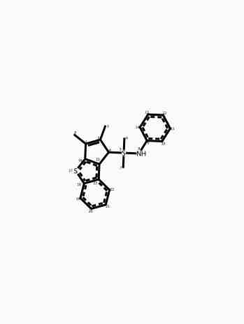 CC1=C(C)C(S(C)(C)Nc2ccccc2)c2c1sc1ccccc21